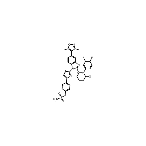 Cc1noc(C)c1-c1ccc2c(c1)nc([C@@H]1CCCC(=O)N1c1ccc(F)c(F)c1)n2-c1nc(-c2ccc(CS(N)(=O)=O)cc2)cs1